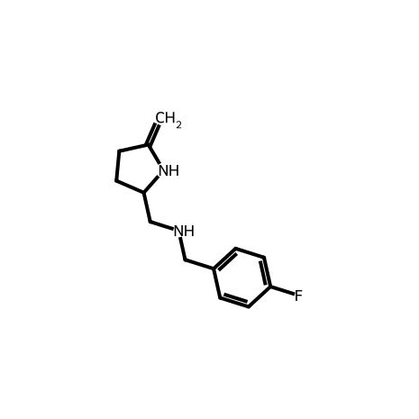 C=C1CCC(CNCc2ccc(F)cc2)N1